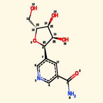 NC(=O)c1cncc([C@H]2O[C@H](CO)[C@@H](O)[C@H]2O)c1